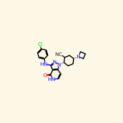 N#CC1C[C@H](N2CCC2)CC[C@@H]1n1nc(Nc2ccc(Cl)cc2)c2c(=O)[nH]ccc21